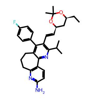 CC[C@H]1C[C@@H](/C=C/c2c(C(C)C)nc3c(c2-c2ccc(F)cc2)CCCc2nc(N)ccc2-3)OC(C)(C)O1